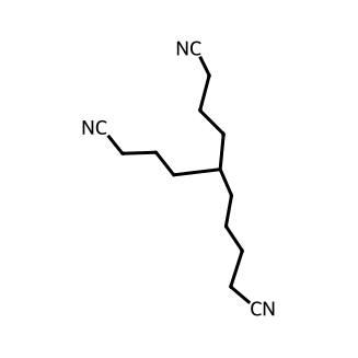 N#CCCCCC(CCCC#N)CCCC#N